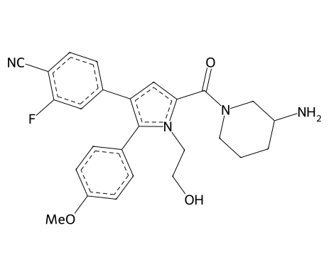 COc1ccc(-c2c(-c3ccc(C#N)c(F)c3)cc(C(=O)N3CCCC(N)C3)n2CCO)cc1